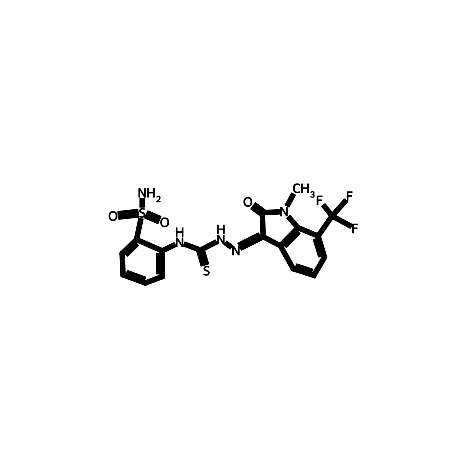 CN1C(=O)C(=NNC(=S)Nc2ccccc2S(N)(=O)=O)c2cccc(C(F)(F)F)c21